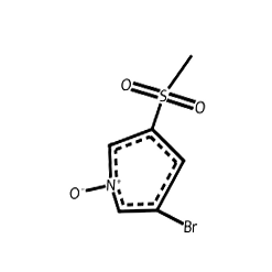 CS(=O)(=O)c1cc(Br)c[n+]([O-])c1